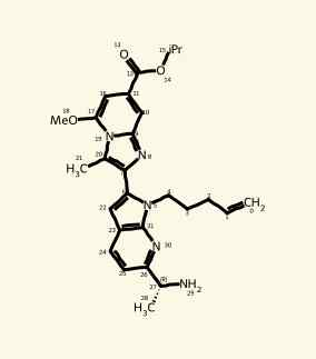 C=CCCCn1c(-c2nc3cc(C(=O)OC(C)C)cc(OC)n3c2C)cc2ccc([C@@H](C)N)nc21